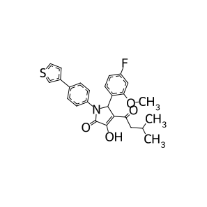 COc1cc(F)ccc1C1C(C(=O)CC(C)C)=C(O)C(=O)N1c1ccc(-c2ccsc2)cc1